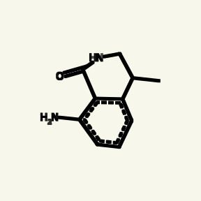 CC1CNC(=O)c2c(N)cccc21